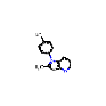 Cc1cc2ncccc2n1-c1ccc(C#N)cc1